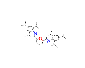 C/C(=N\c1c(C(C)C)cc(C(C)C)cc1C(C)C)C1=CCC=C(/C(C)=N/c2c(C(C)C)cc(C(C)C)cc2C(C)C)O1